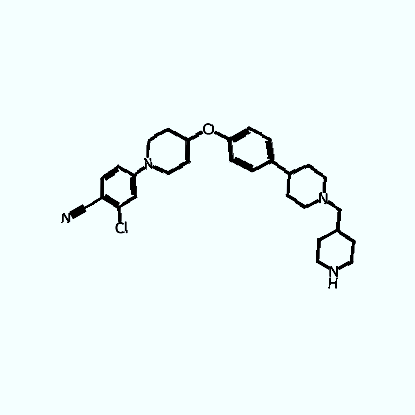 N#Cc1ccc(N2CCC(Oc3ccc(C4CCN(CC5CCNCC5)CC4)cc3)CC2)cc1Cl